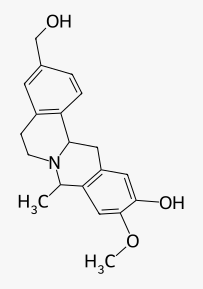 COc1cc2c(cc1O)CC1c3ccc(CO)cc3CCN1C2C